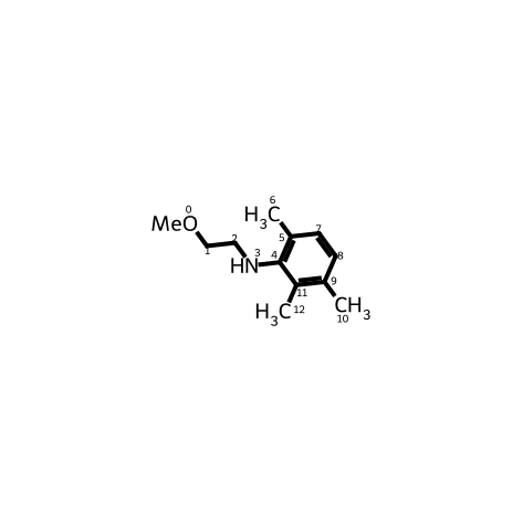 COCCNc1c(C)ccc(C)c1C